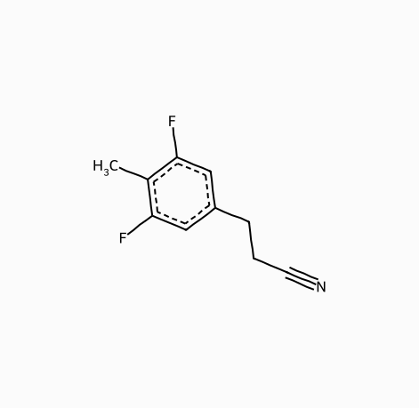 Cc1c(F)cc(CCC#N)cc1F